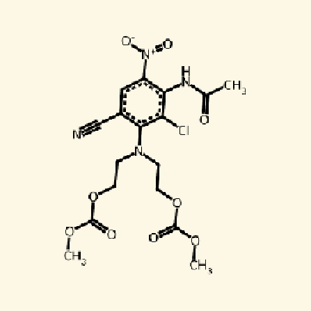 COC(=O)OCCN(CCOC(=O)OC)c1c(C#N)cc([N+](=O)[O-])c(NC(C)=O)c1Cl